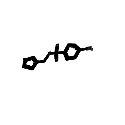 Cc1ccc(S(=O)(=O)OCn2ccnc2)cc1